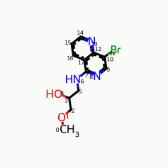 COCC(O)CNc1ncc(Br)c2ncccc12